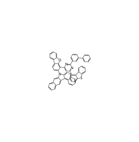 c1ccc(-c2cccc(-c3nc(-c4c(-n5c6cc7ccccc7cc6c6c7ccccc7ccc65)ccc5c4oc4ccccc45)cc(-c4cccc5sc6ccccc6c45)n3)c2)cc1